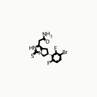 NC(=O)Cc1[nH]c(=S)n2c1C[C@H](c1c(F)ccc(Br)c1F)C2